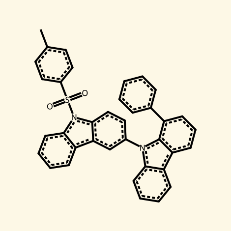 Cc1ccc(S(=O)(=O)n2c3ccccc3c3cc(-n4c5ccccc5c5cccc(-c6ccccc6)c54)ccc32)cc1